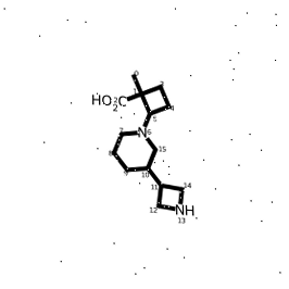 CC1(C(=O)O)CCC1N1CCCC(C2CNC2)C1